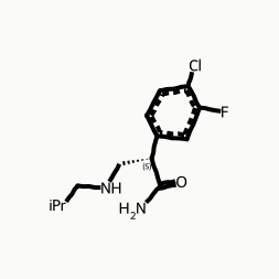 CC(C)CNC[C@@H](C(N)=O)c1ccc(Cl)c(F)c1